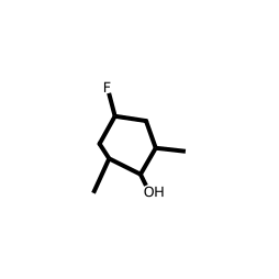 CC1CC(F)CC(C)C1O